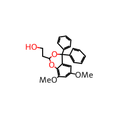 COc1cc(OC)c2c(c1)C(c1ccccc1)(c1ccccc1)OC(CCO)O2